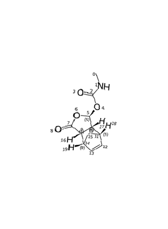 CNC(=O)O[C@@H]1OC(=O)[C@@H]2[C@H]1[C@@H]1C=C[C@H]2C1